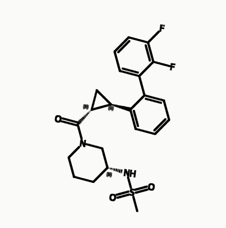 CS(=O)(=O)N[C@@H]1CCCN(C(=O)[C@@H]2C[C@H]2c2ccccc2-c2cccc(F)c2F)C1